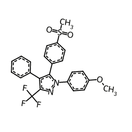 COc1ccc(-n2nc(C(F)(F)F)c(-c3ccccc3)c2-c2ccc(S(C)(=O)=O)cc2)cc1